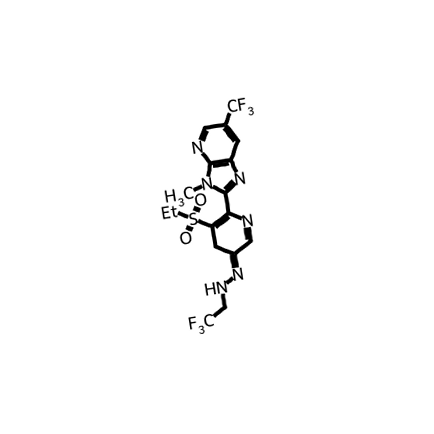 CCS(=O)(=O)C1=C(c2nc3cc(C(F)(F)F)cnc3n2C)N=CC(=NNCC(F)(F)F)C1